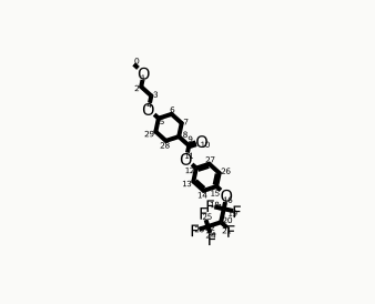 COCCOC1CCC(C(=O)Oc2ccc(OC(F)(F)C(F)C(F)(F)F)cc2)CC1